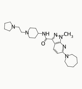 Cn1nc(C(=O)NC2CCN(CCN3CCCC3)CC2)c2ccc(N3CCCCCC3)nc21